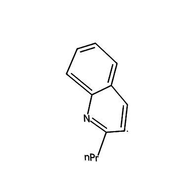 CCCc1[c]cc2ccccc2n1